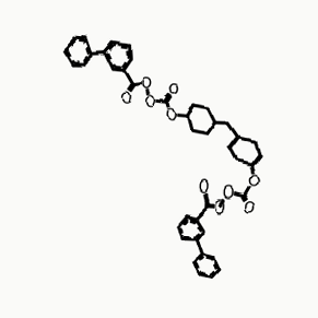 O=C(OOC(=O)c1cccc(-c2ccccc2)c1)OC1CCC(CC2CCC(OC(=O)OOC(=O)c3cccc(-c4ccccc4)c3)CC2)CC1